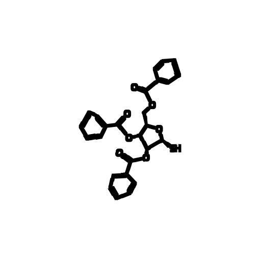 O=C(OC[C@H]1O[C@@H](S)[C@@H](OC(=O)c2ccccc2)C1OC(=O)c1ccccc1)c1ccccc1